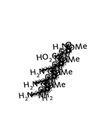 COc1ccc(NC(=O)[C@H](CCC(=O)O)NC(=O)c2cc(NC(=O)[C@H](CCCCCN)NC(=O)c3cc(NC(=O)[C@H](CCCCCN)NC(=O)c4cc(NC(=O)[C@@H](N)CCCCN)ccc4OC)ccc3OC)ccc2OC)cc1C(N)=O